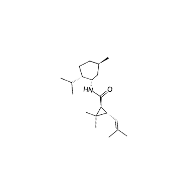 CC(C)=C[C@H]1[C@H](C(=O)N[C@H]2C[C@H](C)CC[C@H]2C(C)C)C1(C)C